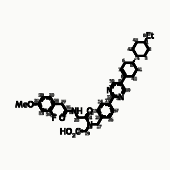 CC[C@H]1CC[C@H](C2CC=C(c3cnc(-c4ccc(CN(CC(=O)O)C(=O)CNC(=O)Cc5ccc(OC)cc5F)cc4)nc3)CC2)CC1